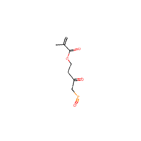 C=C(C)C(=O)OCCC(=O)CP=O